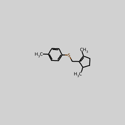 CC1=C(CSc2ccc(C)cc2)C(C)CC1